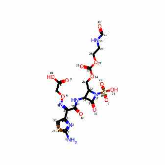 Nc1nc(C(=NOCC(=O)O)C(=O)NC2C(=O)N(S(=O)(=O)O)C2COC(=O)OCCNC=O)cs1